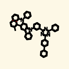 Cc1ccccc1-c1cc2c3ccccc3n(-c3cccc(-c4nc(-c5ccccc5)nc(-c5ccc(-c6ccccc6)cc5)n4)c3)c2cc1N(c1ccccc1)c1ccccc1